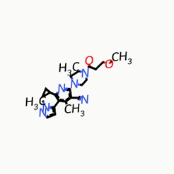 COCCC(=O)N1CCN(c2nc(C3CC3)c(-c3ccnn3C)c(C)c2C#N)CC1C